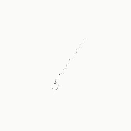 [CH2]CCCCCCCCCCCCCCCCCC1CCCCC1